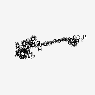 CC(=O)O[C@H]1C(=O)[C@@]2(C)[C@H]([C@H](OC(=O)c3ccccc3)[C@]3(O)C[C@H](OC(=O)[C@H](OC(=O)CCCC(=O)NCCOCCOCCOCCOCCOCCOCC(C(=O)O)N4C(=O)CCC4=O)[C@@H](NC(=O)c4ccccc4)c4ccccc4)C(C)=C1C3(C)C)[C@]1(OC(C)=O)CO[C@@H]1C[C@@H]2O